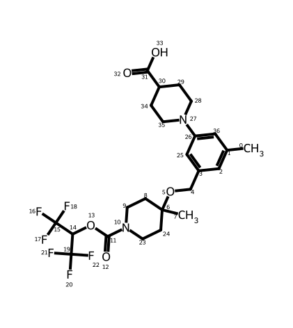 Cc1cc(COC2(C)CCN(C(=O)OC(C(F)(F)F)C(F)(F)F)CC2)cc(N2CCC(C(=O)O)CC2)c1